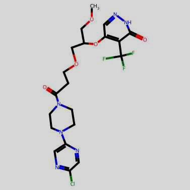 COCC(COCCC(=O)N1CCN(c2cnc(Cl)cn2)CC1)Oc1cn[nH]c(=O)c1C(F)(F)F